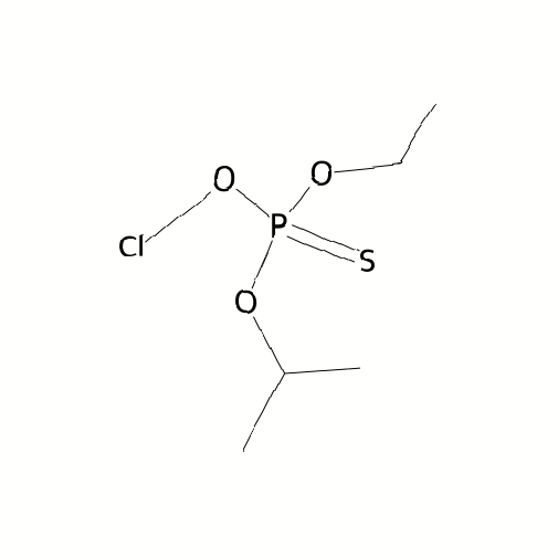 CCOP(=S)(OCl)OC(C)C